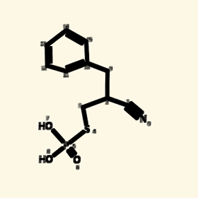 N#CC(CSP(=O)(O)O)Cc1ccccc1